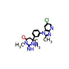 Cc1nc2ncc(Cl)cc2n1-c1cccc([C@]2(C)CC(=O)N(C)C(=N)N2)c1